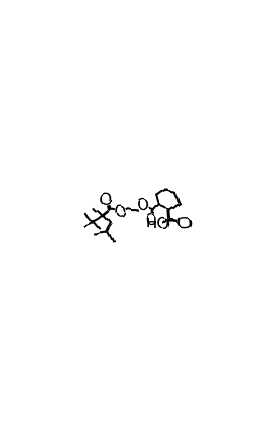 CC(C)CC(C)(C(=O)OCCOC(=O)C1CCCCC1C(=O)O)C(C)(C)C